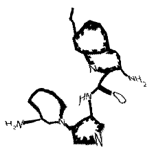 CCc1ccc2cc(N)c(C(=O)Nc3cnccc3N3CCC[C@H](N)C3)nc2c1